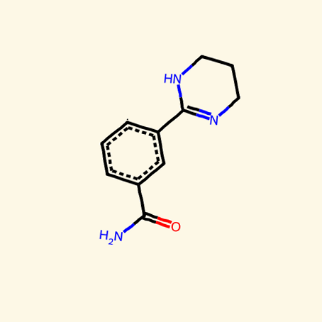 NC(=O)c1cc[c]c(C2=NCCCN2)c1